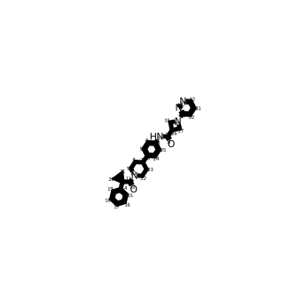 O=C(Nc1ccc(C2CCN(C(=O)C3(c4ccccc4)CC3)CC2)cc1)C1CN(c2cccnn2)C1